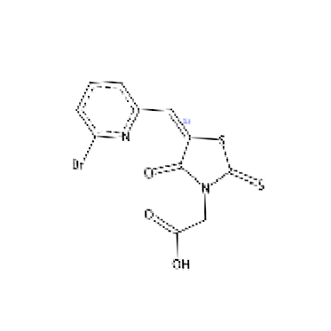 O=C(O)CN1C(=O)/C(=C\c2cccc(Br)n2)SC1=S